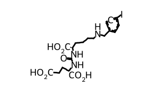 O=C(O)CCC(NC(=O)N[C@@H](CCCCNCc1ccc(I)cc1)C(=O)O)C(=O)O